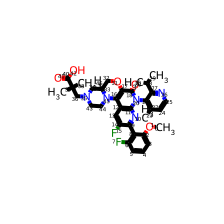 COc1cccc(F)c1-c1nc2c(cc1F)c1c(c(=O)n2-c2c(C)ccnc2C(C)C)OC[C@@H]2CN(CC(C)(C)C(=O)O)CCN12